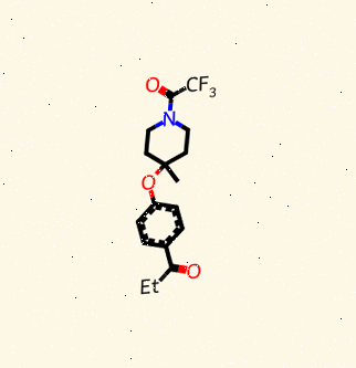 CCC(=O)c1ccc(OC2(C)CCN(C(=O)C(F)(F)F)CC2)cc1